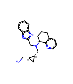 NC[C@H]1C[C@H]1CN(Cc1nc2ccccc2[nH]1)[C@H]1CCCc2cccnc21